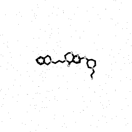 O=C1c2ccc(OC3CCCN(CCF)CC3)nc2OCCN1CCCN1CCc2ccccc2C1